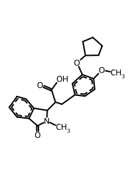 COc1ccc(CC(C(=O)O)C2c3ccccc3C(=O)N2C)cc1OC1CCCC1